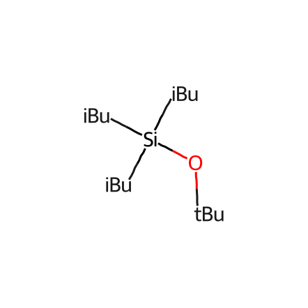 CCC(C)[Si](OC(C)(C)C)(C(C)CC)C(C)CC